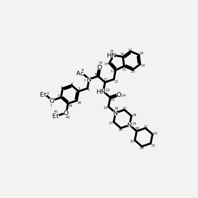 CCOc1ccc(CN(C(C)=O)C(=O)C(Cc2c[nH]c3ccccc23)NC(=O)CN2CCN(C3CCCCC3)CC2)cc1OCC